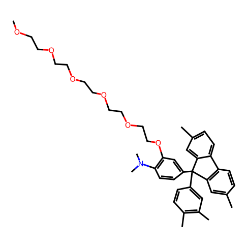 COCCOCCOCCOCCOCCOc1cc(C2(c3ccc(C)c(C)c3)c3cc(C)ccc3-c3ccc(C)cc32)ccc1N(C)C